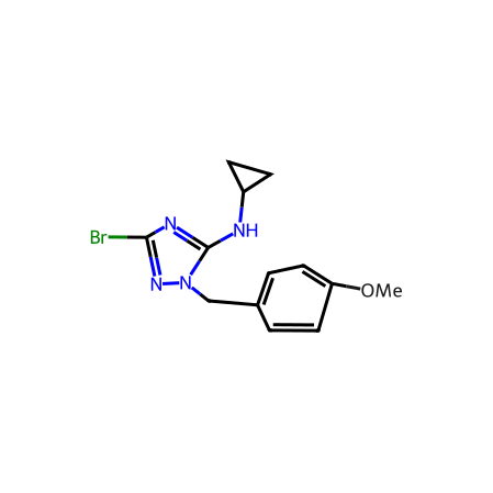 COc1ccc(Cn2nc(Br)nc2NC2CC2)cc1